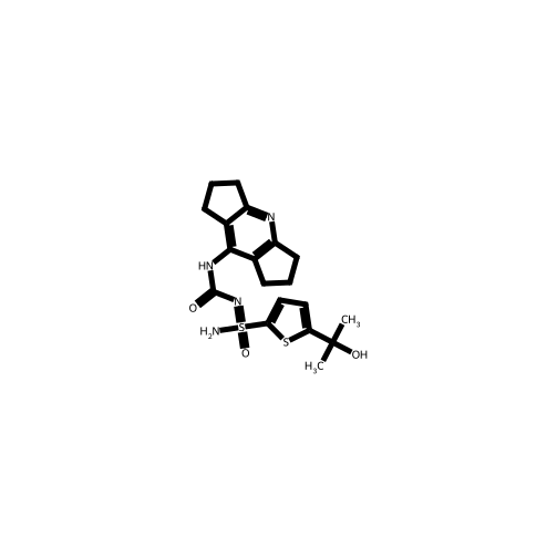 CC(C)(O)c1ccc(S(N)(=O)=NC(=O)Nc2c3c(nc4c2CCC4)CCC3)s1